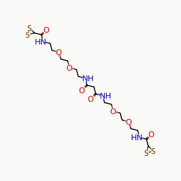 O=C(CC(=O)NCCOCCOCCNC(=O)C1SS1)NCCOCCOCCNC(=O)C1SS1